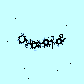 O=C(Nc1ccc(Cl)c(Cl)c1)c1ccc(-c2nc3cc(C(=O)NC4CCCCCC4)ccc3[nH]2)cc1